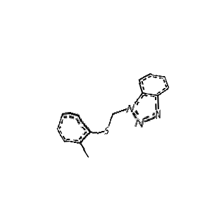 Cc1ccccc1SCn1nnc2ccccc21